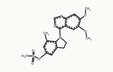 COc1cc2ncnc(N3CCc4cc(OS(C)(=O)=O)cc(C)c43)c2cc1OC